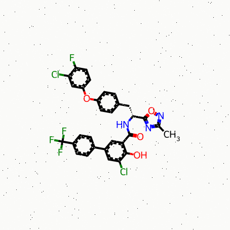 Cc1noc([C@@H](Cc2ccc(Oc3ccc(F)c(Cl)c3)cc2)NC(=O)c2cc(-c3ccc(C(F)(F)F)cc3)cc(Cl)c2O)n1